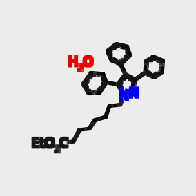 CCOC(=O)CCCCCCCn1nc(-c2ccccc2)c(-c2ccccc2)c1-c1ccccc1.O